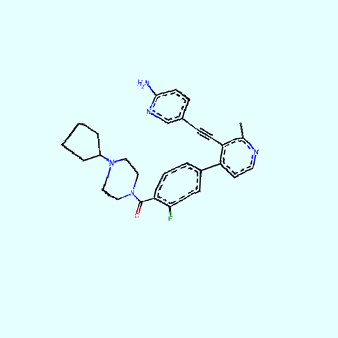 Cc1nccc(-c2ccc(C(=O)N3CCN(C4CCCC4)CC3)c(F)c2)c1C#Cc1ccc(N)nc1